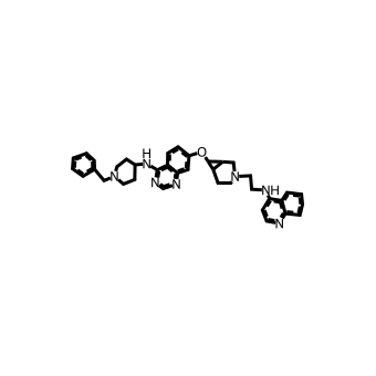 c1ccc(CN2CCC(Nc3ncnc4cc(OC5C6CCN(CCNc7ccnc8ccccc78)CC65)ccc34)CC2)cc1